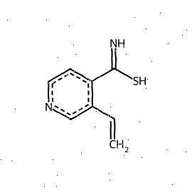 C=Cc1cnccc1C(=N)S